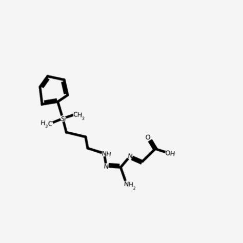 C[Si](C)(CCCNN=C(N)N=CC(=O)O)c1ccccc1